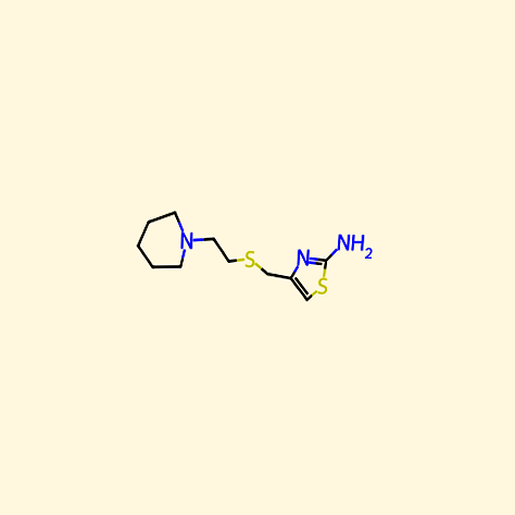 Nc1nc(CSCCN2CCCCC2)cs1